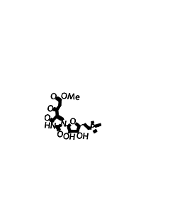 C=P(C)(C)CC[C@H]1O[C@@H](n2cc(C(=O)CC(=O)OC)c(=O)[nH]c2=O)[C@H](O)[C@@H]1O